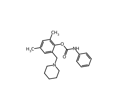 Cc1cc(C)c(OC(=O)Nc2ccccc2)c(CN2CCCCC2)c1